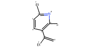 C=C(CC)c1ccc(CC)nc1C